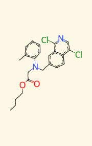 CCCCOC(=O)CN(Cc1ccc2c(Cl)cnc(Cl)c2c1)c1ccccc1C